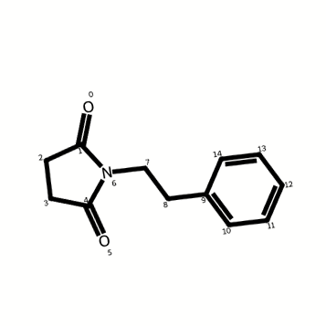 O=C1CCC(=O)N1CCc1ccccc1